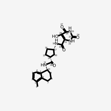 Cc1cccc2c1CCC[C@H]2NC(=O)[C@@H]1CC[C@H](NC(=O)c2[nH]c(=O)[nH]c(=O)c2O)C1